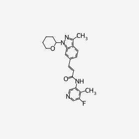 Cc1c(F)cncc1NC(=O)/C=C/c1ccc2c(C)nn(C3CCCCO3)c2c1